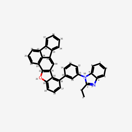 CCc1nc2ccccc2n1-c1cccc(-c2cccc3oc4c5cccc6c5c(cc4c23)-c2ccccc2-6)c1